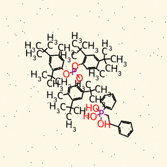 Cc1cc(OP(Oc2cc(C)c(C(C)(C)C)cc2C(C)(C)C)Oc2cc(C)c(C(C)(C)C)cc2C(C)(C)C)c(C(C)(C)C)cc1C(C)(C)C.OP(O)(O)(CCc1ccccc1)c1ccccc1